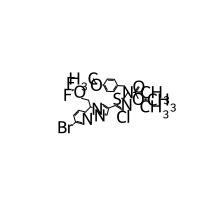 COc1ccc(CN(C(=O)OC(C)(C)C)c2nc(Cl)c(-c3cnn(C(CCOC(F)F)c4ccc(Br)cn4)c3)s2)cc1